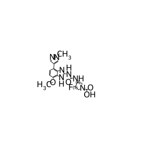 COc1ccc(-c2cnn(C)c2)c2nc(NC(=O)N[C@@H]3CN(C(=O)O)C[C@@H]3F)[nH]c12